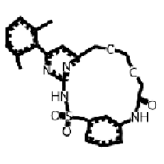 Cc1cccc(C)c1-c1cc2nc(n1)NS(=O)(=O)c1cccc(c1)NC(=O)CCCCC2